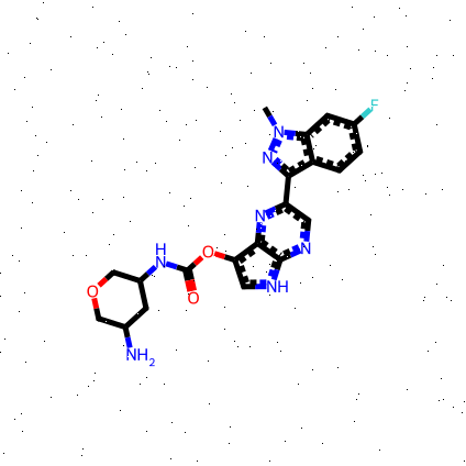 Cn1nc(-c2cnc3[nH]cc(OC(=O)NC4COCC(N)C4)c3n2)c2ccc(F)cc21